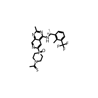 CC(=S)N1CCP(=O)(c2cc3c(N[C@H](C)c4cccc(C(F)(F)F)c4C)nc(C)nc3cn2)CC1